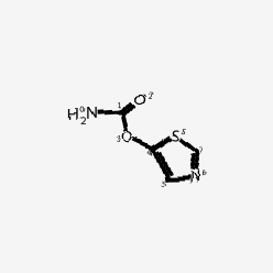 NC(=O)Oc1cncs1